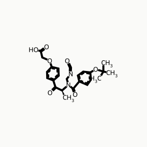 C[C@@H](C(=O)c1ccc(OCC(=O)O)cc1)N(CN=C=O)C(=O)c1ccc(OC(C)(C)C)cc1